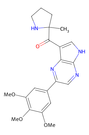 COc1cc(-c2cnc3[nH]cc(C(=O)C4(C)CCCN4)c3n2)cc(OC)c1OC